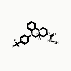 O=C(NO)[C@H]1CCN2c3ccccc3N(c3ccc(C(F)(F)F)cc3)C[C@H]2C1